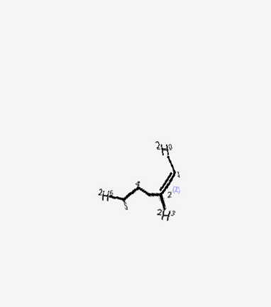 [2H]/C=C(/[2H])CC[2H]